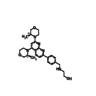 C[C@H]1COCCN1c1cc(N2CCOC[C@@H]2C)c2ccc(-c3ccc(CNCCO)cc3)nc2n1